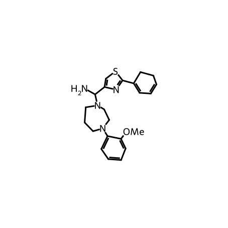 COc1ccccc1N1CCCN(C(N)c2csc(C3=CC=CCC3)n2)CC1